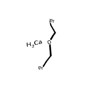 CC(C)COCC(C)C.[CaH2]